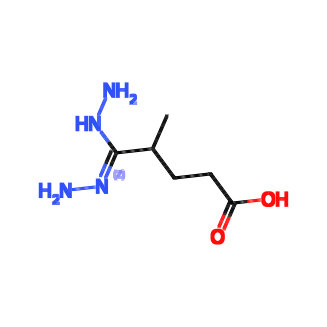 CC(CCC(=O)O)/C(=N/N)NN